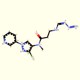 CN(C(=O)CCN/C=N\N=N)c1cn(-c2cccnc2)nc1Cl